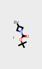 CC(C)(C)OC(=O)N1C[CH]([Zn+])C1.[I-]